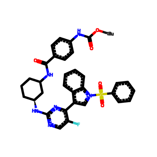 CC(C)(C)OC(=O)Nc1ccc(C(=O)NC2CCC[C@@H](Nc3ncc(F)c(-c4cn(S(=O)(=O)c5ccccc5)c5ccccc45)n3)C2)cc1